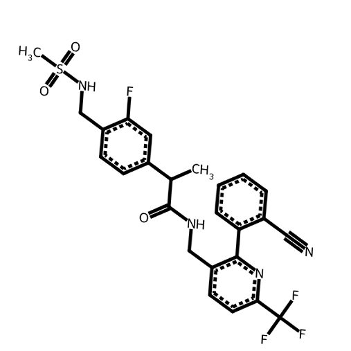 CC(C(=O)NCc1ccc(C(F)(F)F)nc1-c1ccccc1C#N)c1ccc(CNS(C)(=O)=O)c(F)c1